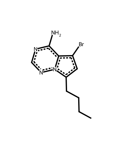 CCCCc1cc(Br)c2c(N)ncnn12